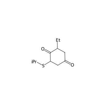 CCC1CC(=O)CC(SC(C)C)C1=O